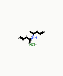 C=CCC(C)NC(C)CC=C.Cl